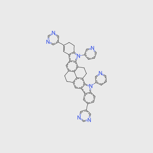 C1=C(c2cncnc2)CCc2c1c1cc3c4c(c1n2-c1cccnc1)CCc1c-4c(cc2c4cc(-c5cncnc5)ccc4n(-c4cccnc4)c12)CC3